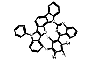 [2H]c1c([2H])c([2H])c(-c2nc(-n3c4ccccc4c4ccc5c(sc6c7ccccc7n(-c7ccccc7)c56)c43)nc3ccccc23)c([2H])c1[2H]